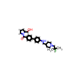 CC(C)(F)CN1CCC(CNc2ccc(-c3ccc(C(=O)N4CCCC4CO)cc3)cc2)CC1